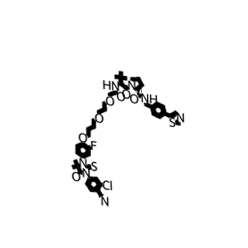 CC(C)(C)[C@H](NC(=O)COCCCOCCCCOc1ccc(N2C(=S)N(c3ccc(C#N)c(Cl)c3)C(=O)C2(C)C)cc1F)C(=O)N1CCC[C@H]1C(=O)NCc1ccc(-c2cncs2)cc1